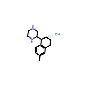 Cc1ccc2c(c1)CCCC2C1CNCCN1.Cl.Cl